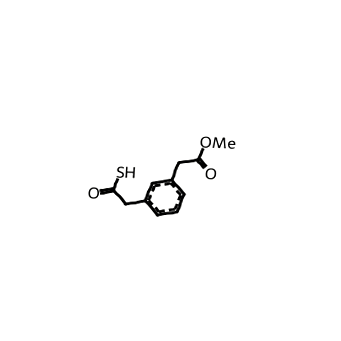 COC(=O)Cc1cccc(CC(=O)S)c1